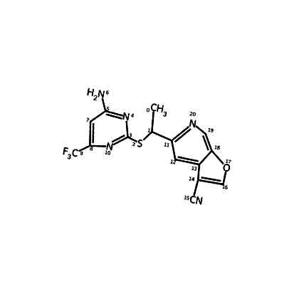 CC(Sc1nc(N)cc(C(F)(F)F)n1)c1cc2c(C#N)coc2cn1